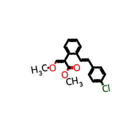 COC=C(C(=O)OC)c1ccccc1C=Cc1ccc(Cl)cc1